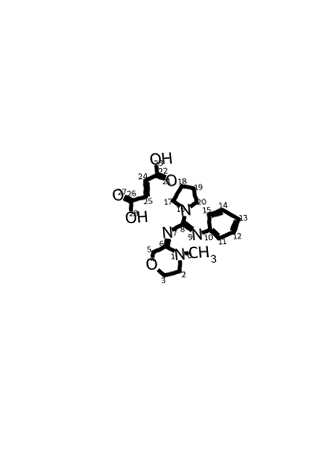 CN1CCOCC1=NC(=Nc1ccccc1)N1CCCC1.O=C(O)C=CC(=O)O